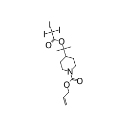 C=CCOC(=O)N1CCC(C(C)(C)OC(=O)C(I)(I)I)CC1